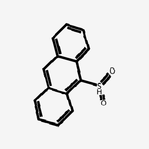 O=[SH](=O)c1c2ccccc2cc2ccccc12